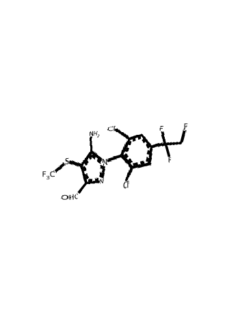 Nc1c(SC(F)(F)F)c(C=O)nn1-c1c(Cl)cc(C(F)(F)CF)cc1Cl